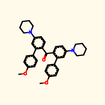 COc1ccc(-c2cc(N3CCCCC3)ccc2C(=O)c2ccc(N3CCCCC3)cc2-c2ccc(OC)cc2)cc1